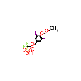 CCOCOc1c(I)cc(COC(=O)C(F)(F)S(=O)(=O)O)cc1I